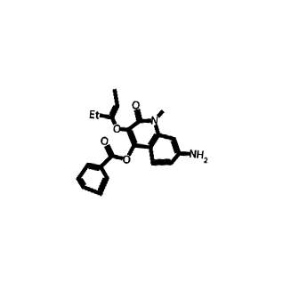 CC=C(CC)Oc1c(OC(=O)c2ccccc2)c2ccc(N)cc2n(C)c1=O